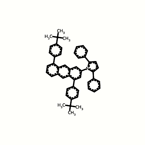 CC(C)(C)c1ccc(-c2cccc3cc4c(-c5ccc(C(C)(C)C)cc5)cc(-n5c(-c6ccccc6)ccc5-c5ccccc5)cc4cc23)cc1